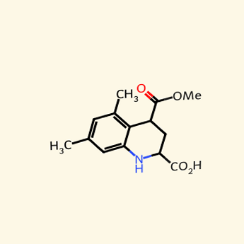 COC(=O)C1CC(C(=O)O)Nc2cc(C)cc(C)c21